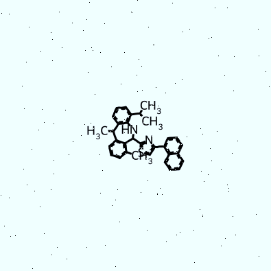 Cc1cccc2c1C(c1nc(-c3cccc4ccccc34)cs1)Nc1c(C(C)C)cccc1C2C